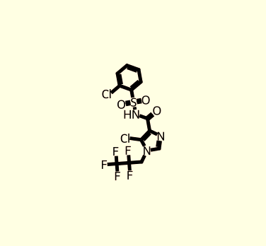 O=C(NS(=O)(=O)c1ccccc1Cl)c1ncn(CC(F)(F)C(F)(F)F)c1Cl